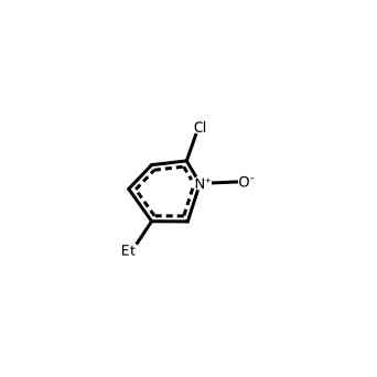 CCc1ccc(Cl)[n+]([O-])c1